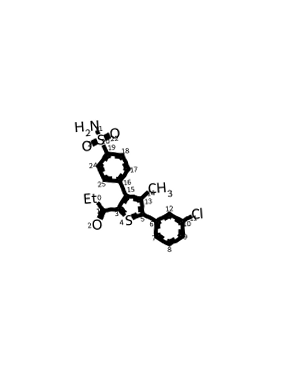 CCC(=O)c1sc(-c2cccc(Cl)c2)c(C)c1-c1ccc(S(N)(=O)=O)cc1